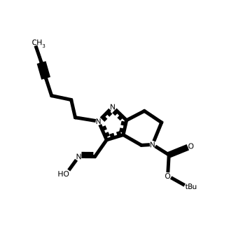 CC#CCCCn1nc2c(c1/C=N/O)CN(C(=O)OC(C)(C)C)CC2